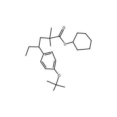 CCC(CC(C)(C)C(=O)OC1CCCCC1)c1ccc(OC(C)(C)C)cc1